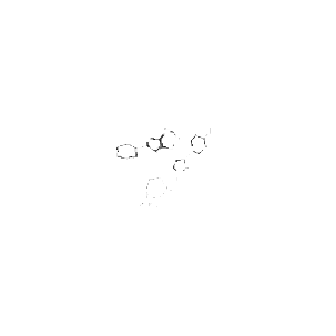 O=S1(=O)CCC[C@H](Cn2cc(-c3ncnc4oc(-c5ccccc5)cc34)c(-c3ccc(F)cc3)n2)C1